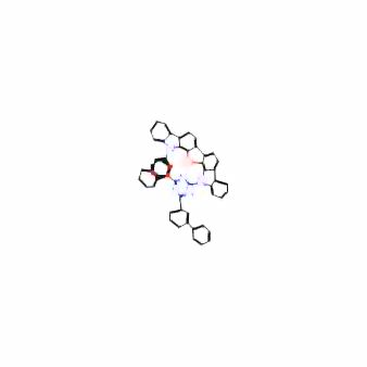 c1ccc(-c2cccc(-c3nc(-c4ccccc4)nc(-n4c5ccccc5c5ccc6c7ccc8c9ccccc9n(-c9ccc%10ccccc%10c9)c8c7oc6c54)n3)c2)cc1